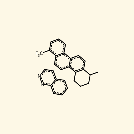 CC1CCCc2c1ccc1c2ccc2c(C(F)(F)F)cccc21.c1ccc2nnccc2c1